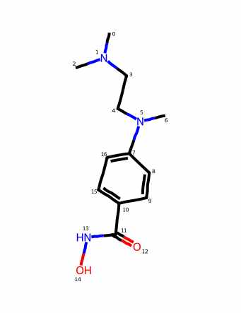 CN(C)CCN(C)c1ccc(C(=O)NO)cc1